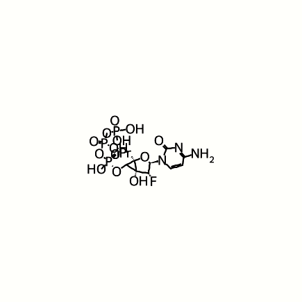 CC(C)[C@]12O[C@@H](n3ccc(N)nc3=O)[C@H](F)[C@@]1(O)C2OP(=O)(O)OP(=O)(O)OP(=O)(O)O